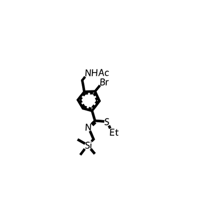 CCSC(=NC[Si](C)(C)C)c1ccc(CNC(C)=O)c(Br)c1